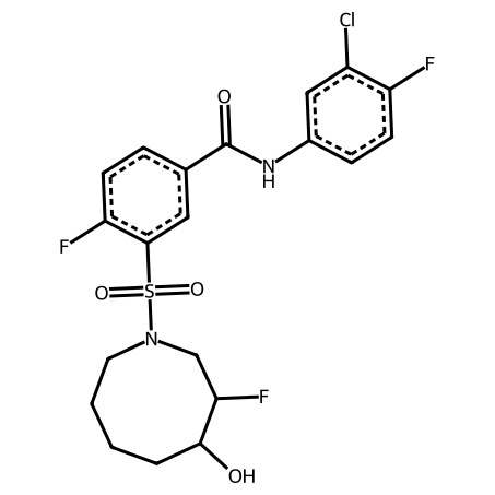 O=C(Nc1ccc(F)c(Cl)c1)c1ccc(F)c(S(=O)(=O)N2CCCCC(O)C(F)C2)c1